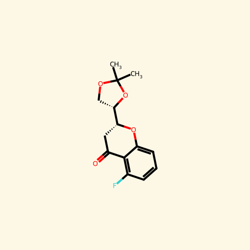 CC1(C)OC[C@@H]([C@H]2CC(=O)c3c(F)cccc3O2)O1